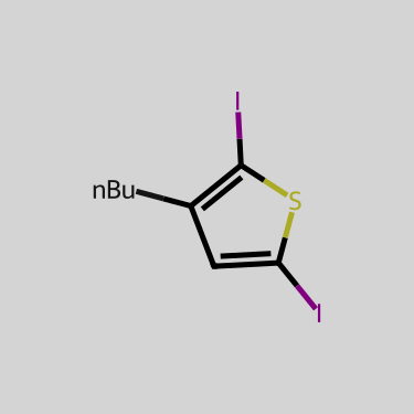 CCCCc1cc(I)sc1I